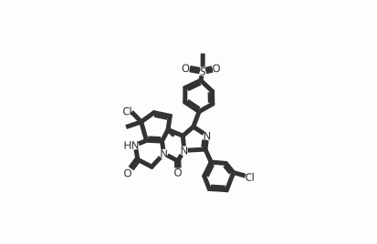 CC1(Cl)C=CC2(C)C3=C1NC(=O)CN3C(=O)N1C(c3cccc(Cl)c3)=NC(c3ccc(S(C)(=O)=O)cc3)C12